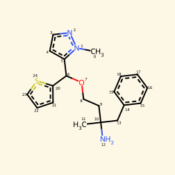 Cn1nccc1C(OCCC(C)(N)Cc1ccccc1)c1cccs1